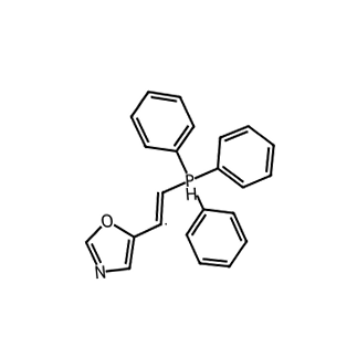 [C](=C[PH](c1ccccc1)(c1ccccc1)c1ccccc1)c1cnco1